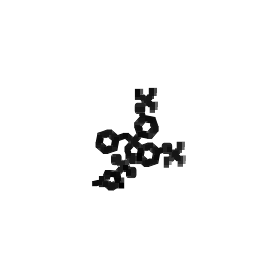 Cn1cnc(S(=O)(=O)NCC(Cc2ccccc2)(c2cccc(OC(F)(F)F)c2)c2cccc(OC(F)(F)F)c2)c1